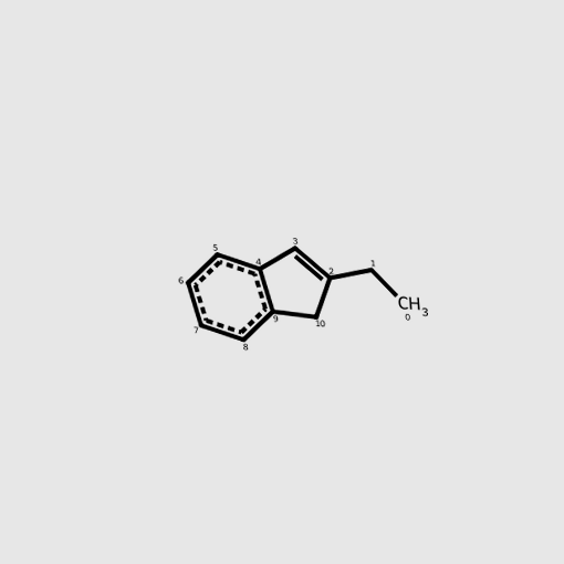 CCC1=Cc2ccccc2C1